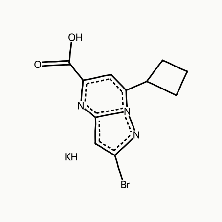 O=C(O)c1cc(C2CCC2)n2nc(Br)cc2n1.[KH]